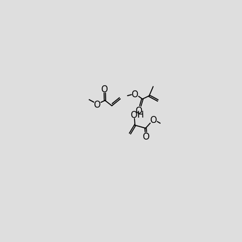 C=C(C)C(=O)OC.C=C(O)C(=O)OC.C=CC(=O)OC